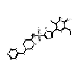 CCc1cc(-c2ccc(S(=O)(=O)NC3CCN(Cc4ccncc4)CC3)s2)c(C)[nH]c1=O